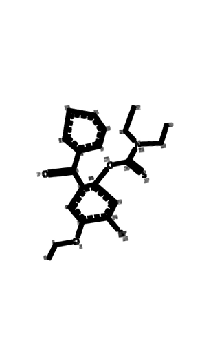 CCOc1cc(C(=O)c2ccccc2)c(OC(=S)N(CC)CC)cc1Br